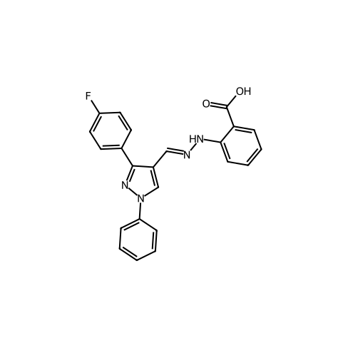 O=C(O)c1ccccc1N/N=C/c1cn(-c2ccccc2)nc1-c1ccc(F)cc1